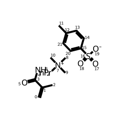 C=C(C)C(N)=O.CCC[N+](C)(C)C.Cc1ccc(S(=O)(=O)[O-])cc1